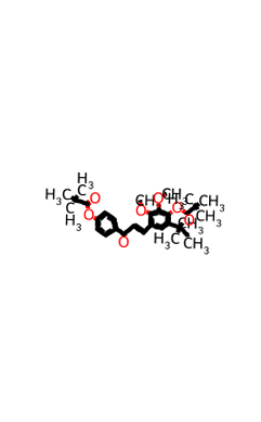 CCC(C)(C)c1cc(C=CC(=O)c2ccc(OC(=O)C(C)(C)C)cc2)c(OC)c(OC)c1OC(=O)C(C)(C)C